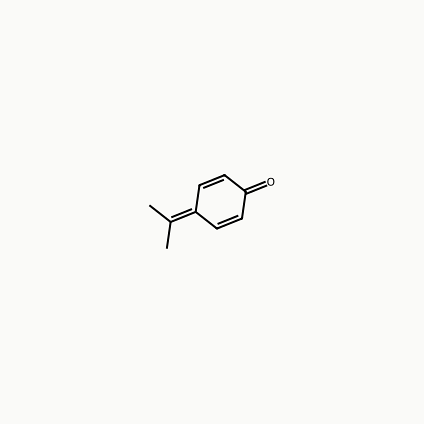 CC(C)=C1C=CC(=O)C=C1